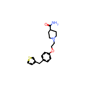 NC(=O)C1CCN(CCOc2ccc(Cc3ccsc3)cc2)CC1